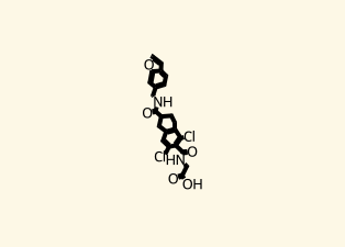 O=C(O)CNC(=O)c1c(Cl)cc2c(c1Cl)CCC(C(=O)NCc1ccc3ccoc3c1)C2